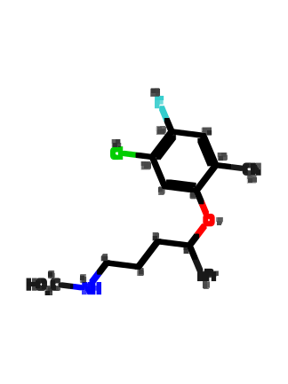 CCCC(CCCNC(=O)O)Oc1cc(Cl)c(F)cc1C#N